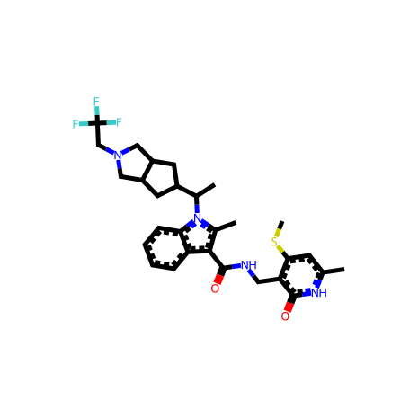 CSc1cc(C)[nH]c(=O)c1CNC(=O)c1c(C)n(C(C)C2CC3CN(CC(F)(F)F)CC3C2)c2ccccc12